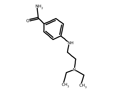 CCN(CC)CCNc1ccc(C(N)=O)cc1